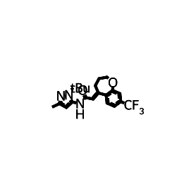 Cc1cc(NC(=O)/C=C2\CCCOc3cc(C(F)(F)F)ccc32)n(C(C)(C)C)n1